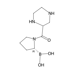 O=C(C1CNCCN1)N1CCC[C@H]1B(O)O